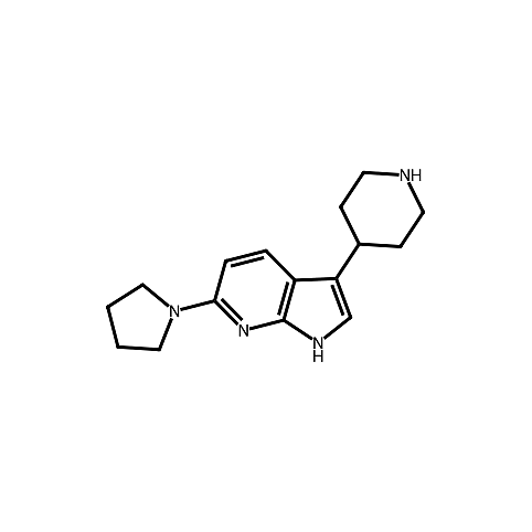 c1cc2c(C3CCNCC3)c[nH]c2nc1N1CCCC1